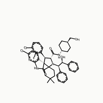 CC1(C)CCC2(CC1)N([C@H](c1ccccc1)[C@@H](O)c1ccccc1)[C@@H](C(=O)N[C@H]1CC[C@H](CO)CC1)[C@H](c1cccc(Cl)c1F)[C@]21C(=O)Nc2nc(Cl)ccc21